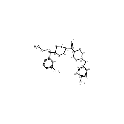 CO/N=C(\c1cccc(C)c1)C1CCN(C(=O)C2CCN(Cc3cnc(N)nc3)CC2)CC1